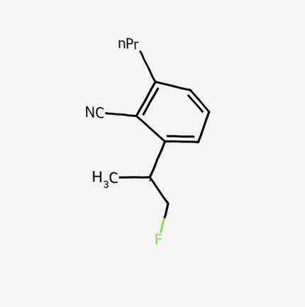 CCCc1cccc([C](C)CF)c1C#N